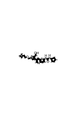 C[Si](C)(C)CCOCn1cc(-c2cnc3ccc(NC(=O)NC4CCCC4)nc3c2)c(CO)n1